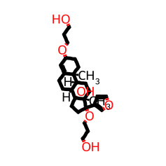 C[C@]12CCC(OCCCO)C=C1CC[C@@H]1[C@H]2CC[C@]2(C)C(OCCCO)(c3ccoc3)CC[C@@]12O